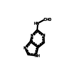 O=CNc1ncc2[nH]cnc2n1